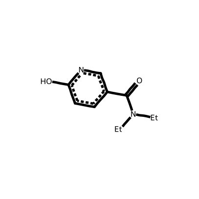 CCN(CC)C(=O)c1ccc(O)nc1